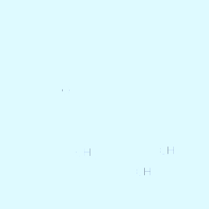 CC(C)=CCCC(C)=CCOCc1ccccc1